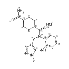 Cl.Cn1ncc2c1Nc1ccccc1N(C(=O)C1CCC(C(N)=O)CC1)C2